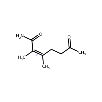 CC(=O)CC/C(C)=C(/C)C(N)=O